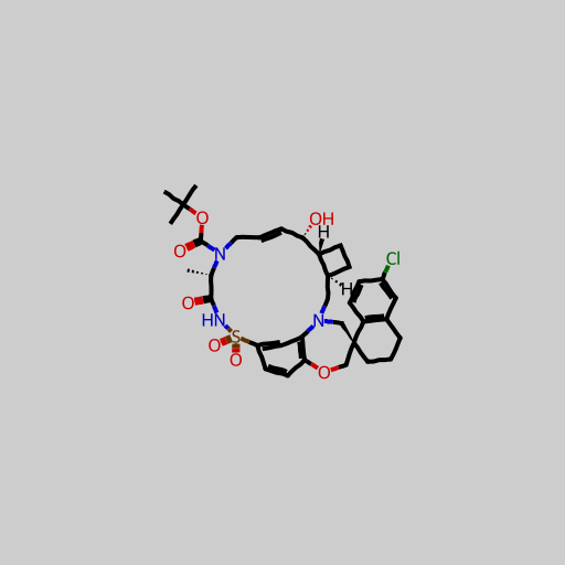 C[C@H]1C(=O)NS(=O)(=O)c2ccc3c(c2)N(C[C@@H]2CC[C@H]2[C@@H](O)/C=C/CN1C(=O)OC(C)(C)C)C[C@@]1(CCCc2cc(Cl)ccc21)CO3